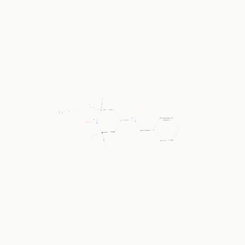 CCCCCCCCON1C(C)(C)CC([N+]([O-])=Cc2ccccc2)CC1(C)C